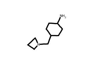 NC1CCC(CN2CCC2)CC1